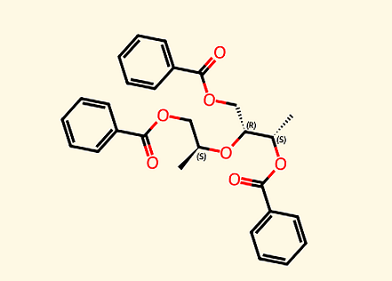 C[C@H](OC(=O)c1ccccc1)[C@@H](COC(=O)c1ccccc1)O[C@@H](C)COC(=O)c1ccccc1